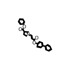 O=C(C=CN1CCC(C(=O)Oc2ccccc2)C1)Oc1ccc(-c2ccccc2)cc1